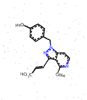 COc1ccc(Cn2nc(C=CC(=O)O)c3c(OC)nccc32)cc1